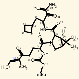 C/C=C(\C)C(=O)CC[C@H](NC(=O)OC(C)(C)C)C(=O)N1CC2[C@@H](C1C(=O)NC(CC1CCC1)C(=O)C(N)=O)C2(C)C